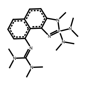 CN(C)C(=Nc1cccc2ccc3c(c12)N=P(N(C)C)(N(C)C)N3C)N(C)C